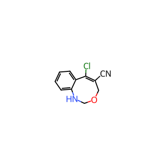 N#C/C1=C(\Cl)c2ccccc2NCOC1